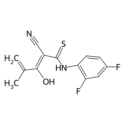 C=C(C)C(O)=C(C#N)C(=S)Nc1ccc(F)cc1F